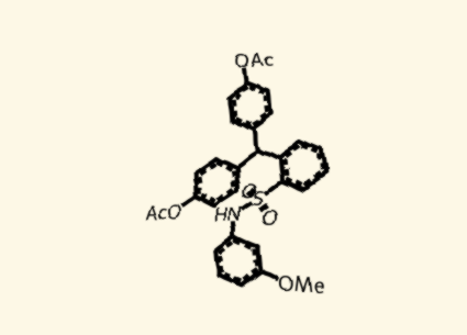 COc1cccc(NS(=O)(=O)c2ccccc2C(c2ccc(OC(C)=O)cc2)c2ccc(OC(C)=O)cc2)c1